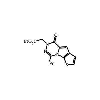 CCOC(=O)Cn1nc(C(C)C)n2c(cc3ccsc32)c1=O